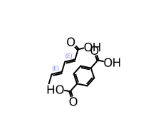 C/C=C/C=C/C(=O)O.O=C(O)c1ccc(C(=O)O)cc1